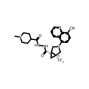 CN1CCC(C(=O)NNC(=O)[C@]23CN(c4ccc(C#N)c5ncccc45)C[C@@]2(C(F)(F)F)C3)CC1